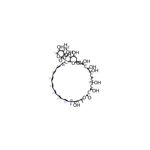 C[C@@H]1[C@H](O)[C@@H](C)/C=C/C=C/C=C/C=C/C=C/C=C/C=C/[C@H](O[C@]2(C)O[C@H](C)[C@@H](O)[C@H](N)[C@@H]2O)C[C@]2(C)O[C@](O)(C[C@@H](O)C[C@@H](O)[C@H](O)CC[C@@H](O)C[C@@H](O)CC(=O)O[C@H]1C)C[C@H](O)[C@H]2C(=O)O